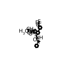 CC(C)(C)NC(=O)N1CCc2c(-c3cccc(OC(F)(F)F)c3)ccc(CNC(=O)[C@@H]3C[C@H]3c3ccccc3)c2C1